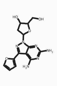 Nc1nc(N)c2c(-c3ccco3)nn(C3CC(O)C(CO)O3)c2n1